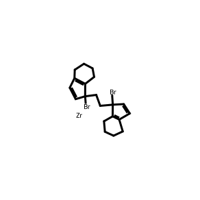 BrC1(CCC2(Br)C=CC3=C2CCCC3)C=CC2=C1CCCC2.[Zr]